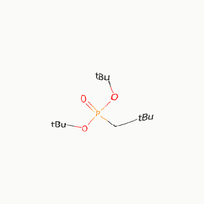 CC(C)(C)CP(=O)(OC(C)(C)C)OC(C)(C)C